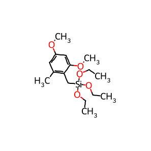 CCO[Si](Cc1c(C)cc(OC)cc1OC)(OCC)OCC